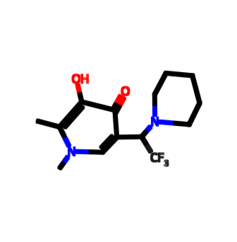 Cc1c(O)c(=O)c(C(N2CCCCC2)C(F)(F)F)cn1C